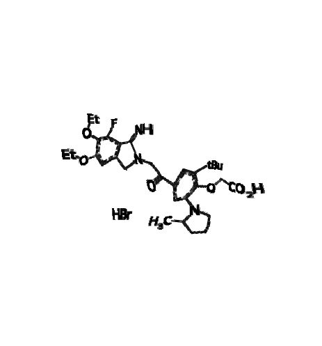 Br.CCOc1cc2c(c(F)c1OCC)C(=N)N(CC(=O)c1cc(N3CCCC3C)c(OCC(=O)O)c(C(C)(C)C)c1)C2